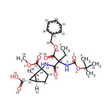 CCC(NC(=O)OC(C)(C)C)(C(=O)N[C@@]1(C(=O)OC)CC[C@H]2[C@H](C(=O)O)[C@H]21)C(=O)OCc1ccccc1